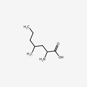 CCCC(C)CC(N)C(=O)O